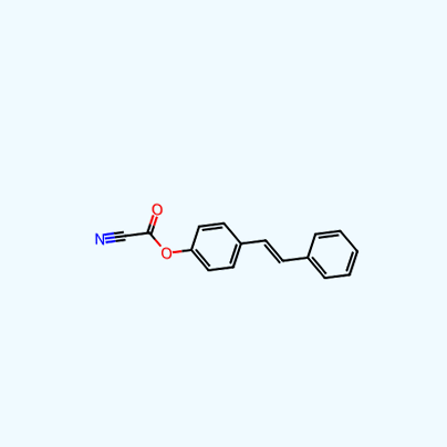 N#CC(=O)Oc1ccc(C=Cc2ccccc2)cc1